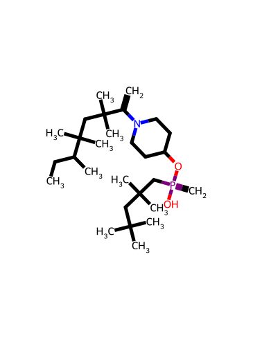 C=C(N1CCC(OP(=C)(O)CC(C)(C)CC(C)(C)C)CC1)C(C)(C)CC(C)(C)C(C)CC